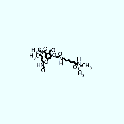 CC(C)NC(=O)CCCCCNC(=O)COc1cccc(C(=O)N(C)C(C)CCC(=O)NC=O)c1C=O